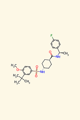 COc1ccc(S(=O)(=O)N[C@H]2CC[C@H](C(=O)N[C@H](C)c3ccc(F)cc3)CC2)cc1C(C)(C)C